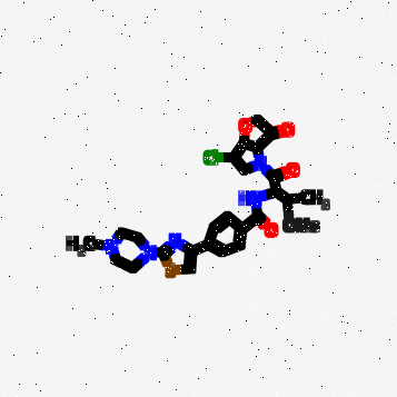 COC(C)C(NC(=O)c1ccc(-c2csc(N3CCN(C)CC3)n2)cc1)C(=O)N1CC(Cl)C2OCC(=O)C21